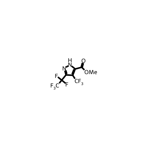 COC(=O)c1[nH]nc(C(F)(F)C(F)(F)F)c1C(F)(F)F